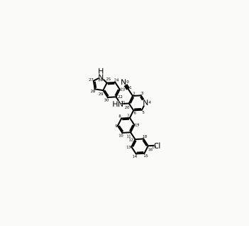 N#Cc1cncc(-c2cccc(-c3cccc(Cl)c3)c2)c1Nc1ccc2[nH]ccc2c1